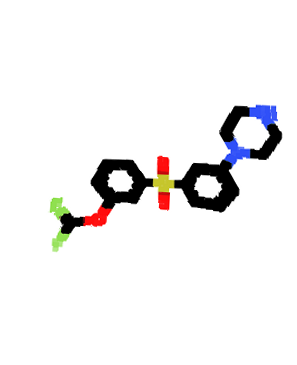 O=S(=O)(c1cccc(OC(F)F)c1)c1cccc(N2CCNCC2)c1